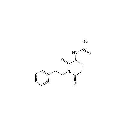 CCC(C)C(=O)NC1CCC(=O)N(CCc2ccccc2)C1=O